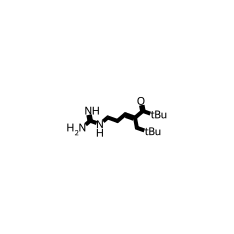 CC(C)(C)C/C(=C\CCNC(=N)N)C(=O)C(C)(C)C